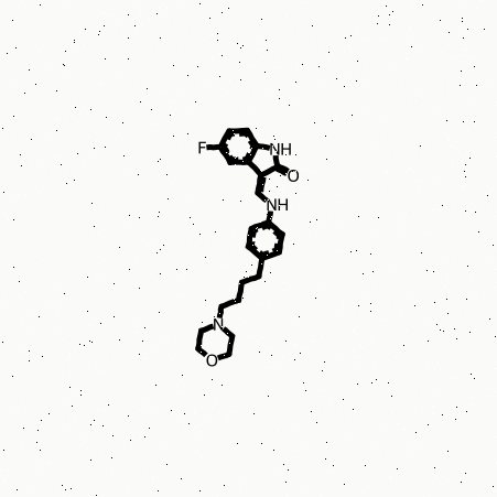 O=C1Nc2ccc(F)cc2C1=CNc1ccc(CCCCN2CCOCC2)cc1